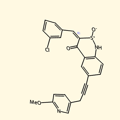 COc1ccc(CC#Cc2ccc3c(c2)C(=O)/C(=C\c2cccc(Cl)c2)[S+]([O-])N3)cn1